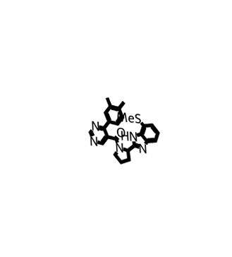 CSc1cccc2nc(C3CCCN3C(=O)c3cncnc3-c3ccc(C)c(C)c3)[nH]c12